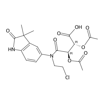 CC(=O)O[C@@H](C(=O)O)[C@@H](OC(C)=O)C(=O)N(CCCl)c1ccc2c(c1)C(C)(C)C(=O)N2